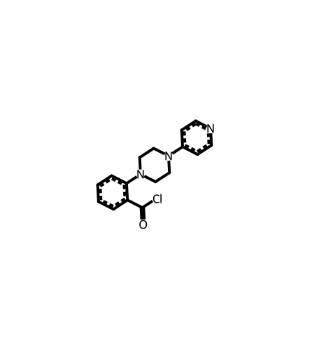 O=C(Cl)c1ccccc1N1CCN(c2ccncc2)CC1